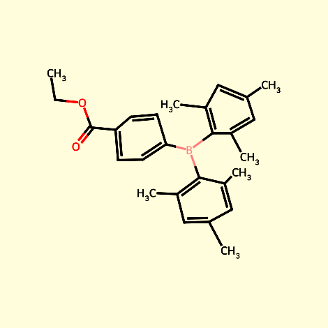 CCOC(=O)c1ccc(B(c2c(C)cc(C)cc2C)c2c(C)cc(C)cc2C)cc1